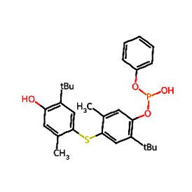 Cc1cc(O)c(C(C)(C)C)cc1Sc1cc(C(C)(C)C)c(OP(O)Oc2ccccc2)cc1C